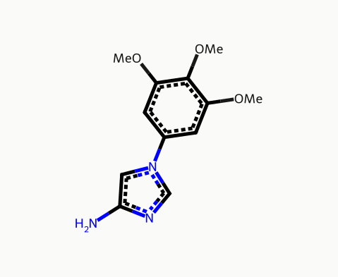 COc1cc(-n2cnc(N)c2)cc(OC)c1OC